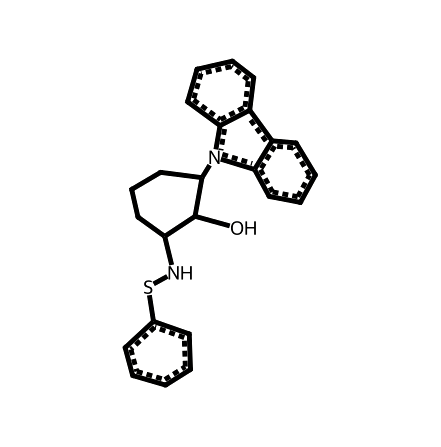 OC1C(NSc2ccccc2)CCCC1n1c2ccccc2c2ccccc21